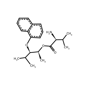 CC(C)[C@H](N)C(=O)O[C@@H](C)[C@H](Oc1cccc2ccccc12)C(C)C